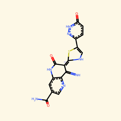 N=C1/C(=C2\NC=C(c3ccc(=O)[nH]n3)S2)C(=O)Nc2cc(C(N)=O)cnc21